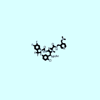 CC(=O)N[C@@H](c1cc(F)ccc1Cl)c1c(NC(=O)N2CC(F)(F)c3cc(F)c(F)cc32)nc(C(=O)NCc2cnccc2CN(C)C)n1C